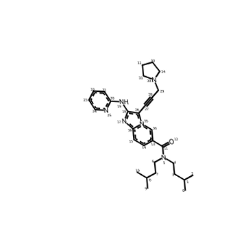 CC(C)CCN(CCC(C)C)C(=O)c1ccc2nc(Nc3ccccn3)c(C#CCN3CCCC3)n2c1